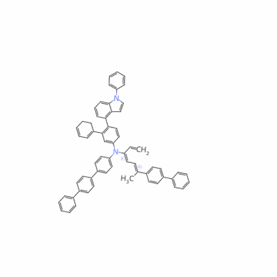 C=C/C(=C\C=C(/C)c1ccc(-c2ccccc2)cc1)N(c1ccc(-c2ccc(-c3ccccc3)cc2)cc1)c1ccc(-c2cccc3c2ccn3-c2ccccc2)c(C2=CC=CCC2)c1